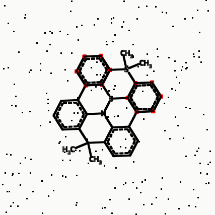 CC1(C)c2cccc(-c3ccccc3)c2N(B2c3ccccc3S(C)(C)c3ccccc32)c2c(-c3ccccc3)cccc21